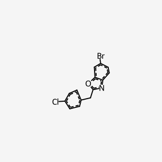 Clc1ccc(Cc2nc3ccc(Br)cc3o2)cc1